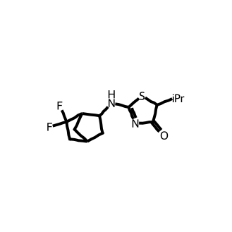 CC(C)C1SC(NC2CC3CC2C(F)(F)C3)=NC1=O